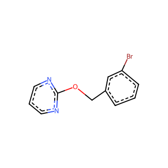 Brc1cccc(COc2ncccn2)c1